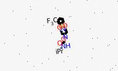 CC(C)CNC(=O)CON=C1CCN(S(=O)(=O)c2cccc(C(F)(F)F)c2)CC1